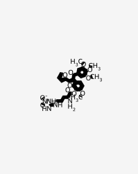 COc1cc(C(=O)c2c(-c3ccco3)oc3c(OC(=O)C(N)CCCNC(=N)N[N+](=O)[O-])c(OC)ccc23)cc(OC)c1OC